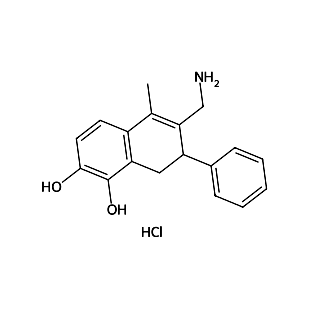 CC1=C(CN)C(c2ccccc2)Cc2c1ccc(O)c2O.Cl